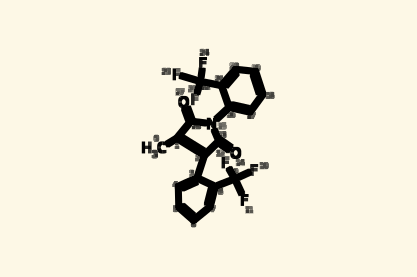 CC1=C(c2ccccc2C(F)(F)F)C(=O)N(c2ccccc2C(F)(F)F)C1=O